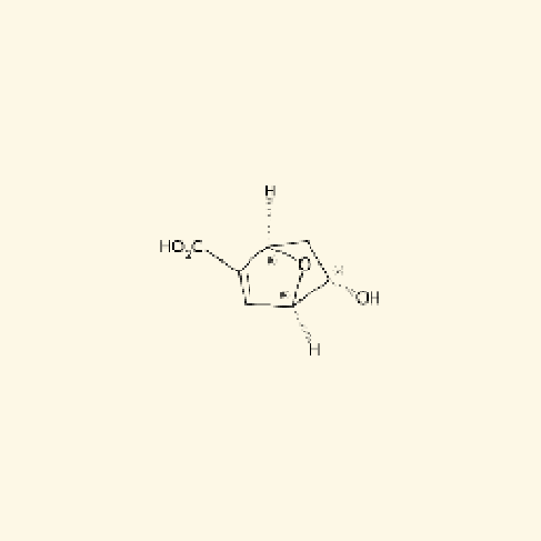 O=C(O)C1=C[C@H]2O[C@@H]1C[C@@H]2O